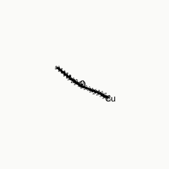 CCCCCCCCCCCCCCCCCC(=O)CCCCCCCCCCCCCCC[CH2][Cu]